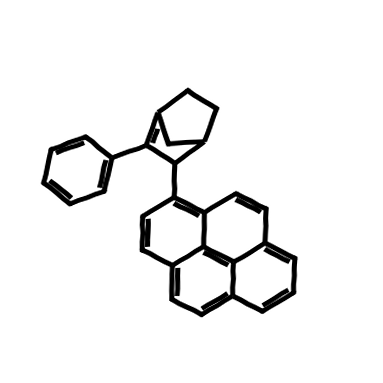 c1ccc(C2=C3CCC(C3)C2c2ccc3ccc4cccc5ccc2c3c45)cc1